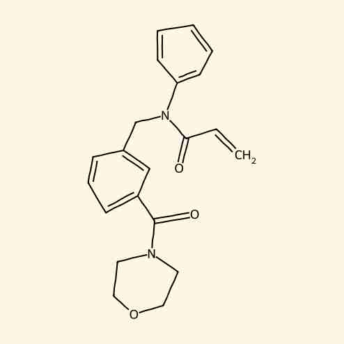 C=CC(=O)N(Cc1cccc(C(=O)N2CCOCC2)c1)c1ccccc1